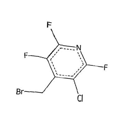 Fc1nc(F)c(Cl)c(CBr)c1F